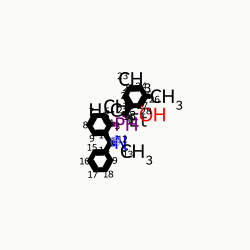 CCC(C)(Pc1c(C)cccc1/C(=N/C)c1ccccc1)c1cc(C)cc(C)c1O